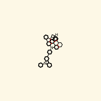 c1ccc(-n2c3ccccc3c3cc(-c4ccc(N(c5ccc6c(c5)C5(c7ccccc7-6)C6CC7C[C@@H]8CC5C68C7)c5ccccc5-c5cccc6cccc(C7CCCCC7)c56)cc4)ccc32)cc1